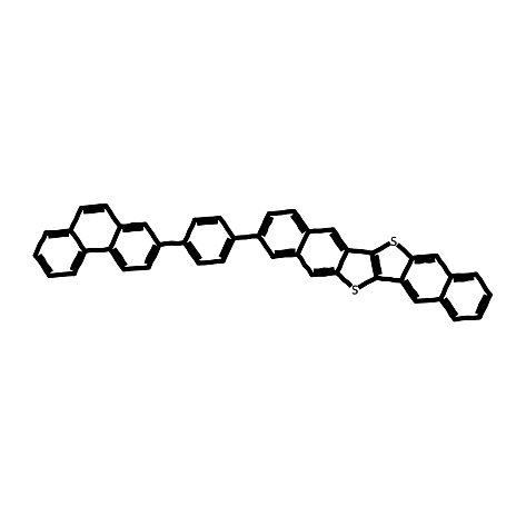 c1ccc2cc3c(cc2c1)sc1c2cc4ccc(-c5ccc(-c6ccc7c(ccc8ccccc87)c6)cc5)cc4cc2sc31